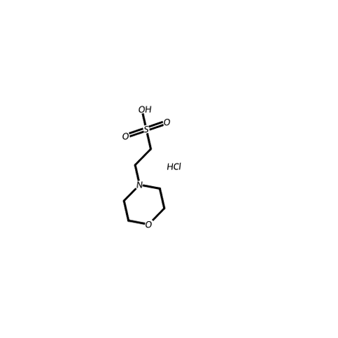 Cl.O=S(=O)(O)CCN1CCOCC1